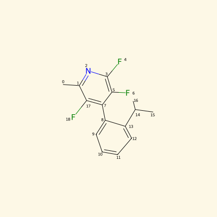 Cc1nc(F)c(F)c(-c2ccccc2C(C)C)c1F